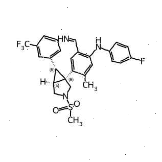 Cc1cc(Nc2ccc(F)cc2)c(C=N)cc1[C@]12CN(S(C)(=O)=O)C[C@H]1[C@@H]2c1cccc(C(F)(F)F)c1